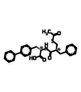 CC(=O)SC[C@@H](Cc1ccccc1)C(=O)N[C@@H](Cc1ccc(-c2ccccc2)cc1)C(=O)O